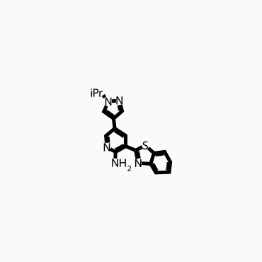 CC(C)n1cc(-c2cnc(N)c(-c3nc4ccccc4s3)c2)cn1